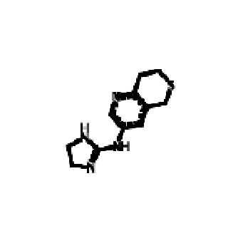 c1nc2c(cc1NC1=NCCN1)CSCC2